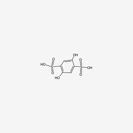 O=S(=O)(O)c1cc(O)c(S(=O)(=O)O)cc1O